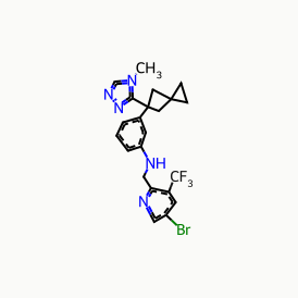 Cn1cnnc1C1(c2cccc(NCc3ncc(Br)cc3C(F)(F)F)c2)CC2(CC2)C1